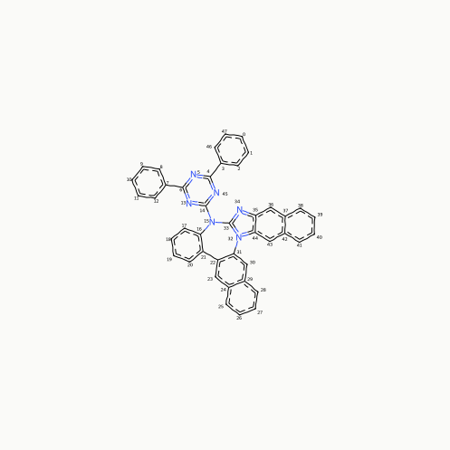 c1ccc(-c2nc(-c3ccccc3)nc(N3c4ccccc4-c4cc5ccccc5cc4-n4c3nc3cc5ccccc5cc34)n2)cc1